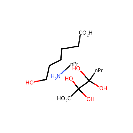 CCCC(O)(O)C(O)(O)C(=O)O.CCCN.O=C(O)CCCCCO